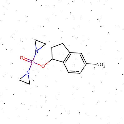 O=[N+]([O-])c1ccc2c(c1)CCC2OP(=O)(N1CC1)N1CC1